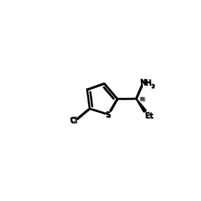 CC[C@H](N)c1ccc(Cl)s1